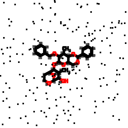 CC1C(O)C2OCCC(O2)C1OC1OC2COC(c3ccccc3)OC2C(C)C1OCc1ccccc1